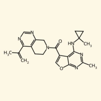 C=C(C)c1ncnc2c1CCN(C(=O)c1coc3nc(C)nc(NC4(C)CC4)c13)C2